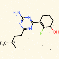 C[C@@H](CCc1nc(N)nc(C2=C(F)C(O)CCC2)n1)C(F)(F)F